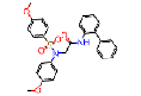 COc1ccc(N(CC(=O)Nc2ccccc2-c2ccccc2)S(=O)(=O)c2ccc(OC)cc2)cc1